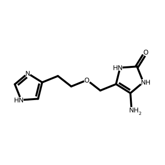 Nc1[nH]c(=O)[nH]c1COCCc1c[nH]cn1